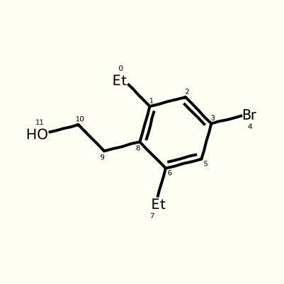 CCc1cc(Br)cc(CC)c1CCO